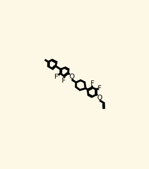 C=CCOc1ccc(C2CCC(COc3ccc(-c4ccc(C)cc4)c(F)c3F)CC2)c(F)c1F